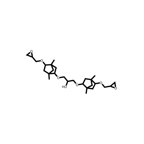 CC12CC(OCC3CO3)C(C)(CC1OCC(O)COC1CC3(C)CC1(C)CC3OCC1CO1)C2